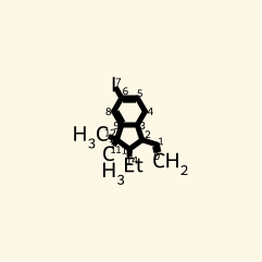 C=CC1C2CC=C(I)C=C2C(C)(C)C1CC